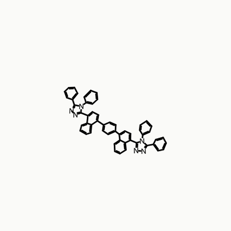 c1ccc(-c2nnc(-c3ccc(-c4ccc(-c5ccc(-c6nnc(-c7ccccc7)n6-c6ccccc6)c6ccccc56)cc4)c4ccccc34)n2-c2ccccc2)cc1